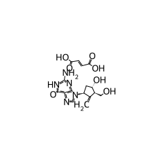 C=C1[C@H](CO)[C@@H](O)C[C@@H]1n1cnc2c(=O)[nH]c(N)nc21.O=C(O)/C=C/C(=O)O